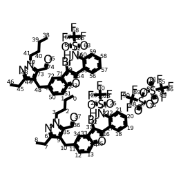 CCCCn1nc(CC)c(Cc2ccc3oc(-c4ccccc4NS(=O)(=O)C(F)(F)F)c(Br)c3c2)c1C=O.CCCCn1nc(CC)c(Cc2ccc3oc(-c4ccccc4NS(=O)(=O)C(F)(F)F)c(Br)c3c2)c1C=O.O=S(=O)(OS(=O)(=O)C(F)(F)F)C(F)(F)F